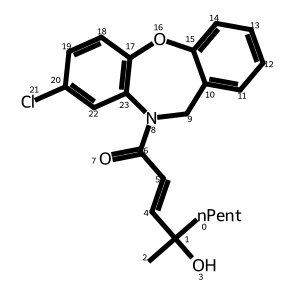 CCCCCC(C)(O)C=CC(=O)N1Cc2ccccc2Oc2ccc(Cl)cc21